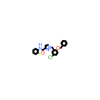 O=C(Nc1ccccc1F)c1ccn(Cc2cc(Cl)ccc2OCc2ccccc2)n1